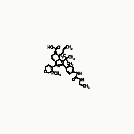 C=CCC1C2C(=C(N3CCOC[C@@H]3C)N=C(c3ccc(NC(=O)NCC)cc3)N2C(C)(C)C)CCN1C(=O)O